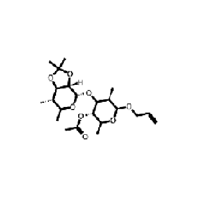 C=CCO[C@H]1OC(C)[C@H](OC(C)=O)C(O[C@@H]2OC(C)[C@H](C)C3OC(C)(C)O[C@@H]32)[C@H]1C